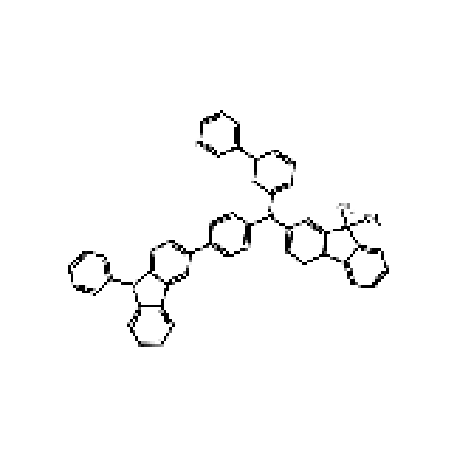 CC1(C)C2=CC(N(C3=CC=CC(c4cccnc4)C3)c3ccc(-c4ccc5c(c4)c4ccccc4n5-c4ccccc4)cc3)=CCC2c2ccccc21